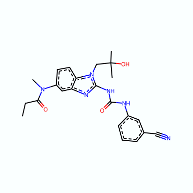 CCC(=O)N(C)c1ccc2c(c1)nc(NC(=O)Nc1cccc(C#N)c1)n2CC(C)(C)O